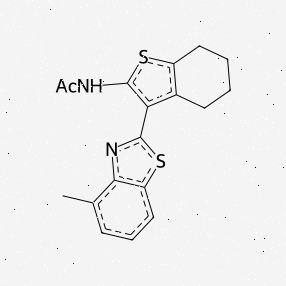 CC(=O)Nc1sc2c(c1-c1nc3c(C)cccc3s1)CCCC2